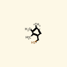 Cc1ccc(CS)c(C)c1C